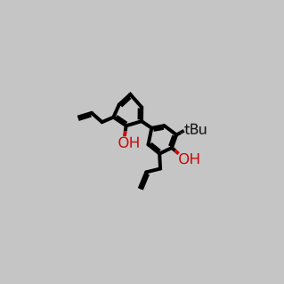 C=CCc1cccc(-c2cc(CC=C)c(O)c(C(C)(C)C)c2)c1O